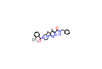 Cc1c(C(=O)NCc2ccccc2)nnc2c1CC1CN(C(=O)c3ccccc3C(F)(F)F)CCN21